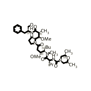 CC[C@H](C)[C@@H]([C@@H](CC(=O)N1CCC[C@H]1[C@H](OC)[C@@H](C)C(=O)N[C@H](CO)Cc1ccccc1)OC)N(C)C(=O)[C@@H](NC(=O)N1C[C@@H](C)O[C@@H](C)C1)C(C)C